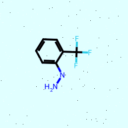 N[N]c1ccccc1C(F)(F)F